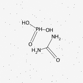 NC(N)=O.O=[PH](O)O